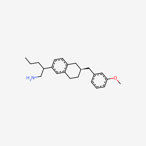 CCCC(CN)c1ccc2c(c1)CC[C@H](Cc1cccc(OC)c1)C2